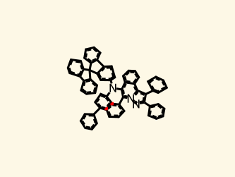 c1ccc(-c2ccc(N(c3ccc4c(c3)C3(c5ccccc5-c5ccccc53)c3ccccc3-4)c3c(-c4ccccc4)n4nc(-c5ccccc5)c(-c5ccccc5)c4c4ccccc34)cc2)cc1